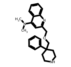 CN(C)c1cc(COCC2(c3ccccc3)CCNCC2)nc2ccccc12